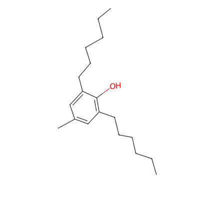 CCCCCCc1cc(C)cc(CCCCCC)c1O